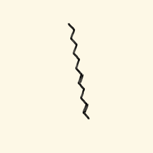 CC=CCCC=CCCCCCCC